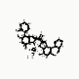 Cc1ccccc1-c1c(C)cc(C)c2c1C=C(C(C)C)[CH]2[Zr+2]1([CH]2C(C(C)C)=Cc3c(-c4ccccc4C)c(C)cc(C)c32)[CH2][CH2]1.[Cl-].[Cl-]